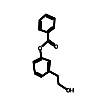 O=C(Oc1cccc(CCO)c1)c1ccccc1